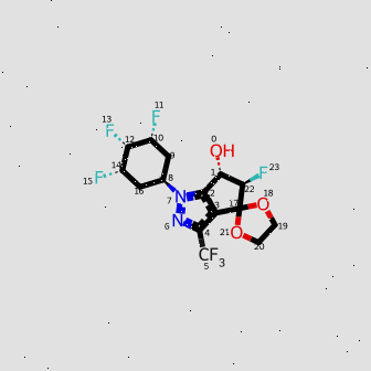 O[C@H]1c2c(c(C(F)(F)F)nn2[C@@H]2C[C@@H](F)[C@@H](F)[C@@H](F)C2)C2(OCCO2)[C@@H]1F